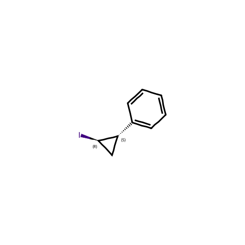 I[C@@H]1C[C@H]1c1ccccc1